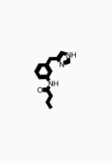 CCCC(=O)Nc1cccc(Cc2c[nH]cn2)c1